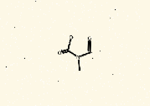 CN([C]=O)C([O])=O